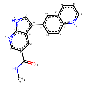 CNC(=O)c1cnc2[nH]cc(-c3ccc4ncccc4c3)c2c1